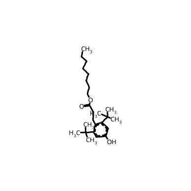 CCCCCCCCOC(=O)CCc1c(C(C)(C)C)cc(O)cc1C(C)(C)C